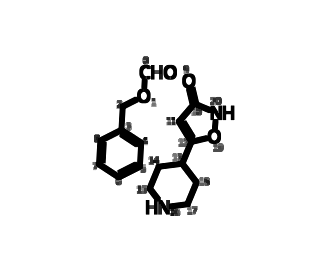 O=COCc1ccccc1.O=c1cc(C2CCNCC2)o[nH]1